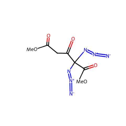 COC(=O)CC(=O)C(N=[N+]=[N-])(N=[N+]=[N-])C(=O)OC